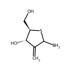 BC1S[C@H](CO)[C@@H](O)C1=C